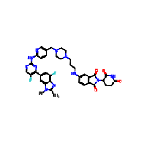 Cc1nc2c(F)cc(-c3nc(Nc4ccc(CN5CCN(CCCNc6ccc7c(c6)C(=O)N(C6CCC(=O)NC6=O)C7=O)CC5)cn4)ncc3F)cc2n1C(C)C